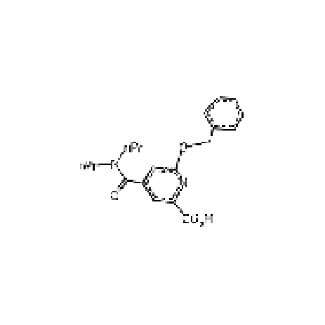 CCCN(CCC)C(=O)c1cc(OCc2ccccc2)nc(C(=O)O)c1